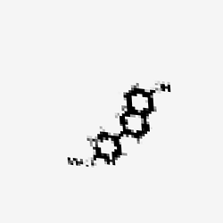 COc1ncc(-c2ccc3cc(O)ccc3c2)cn1